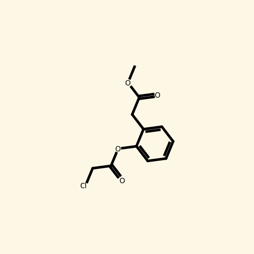 COC(=O)Cc1ccccc1OC(=O)CCl